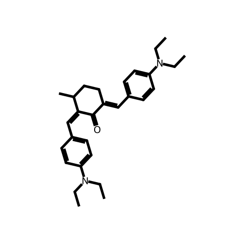 CCN(CC)c1ccc(C=C2CCC(C)C(=Cc3ccc(N(CC)CC)cc3)C2=O)cc1